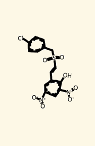 O=[N+]([O-])c1cc(/C=C/S(=O)(=O)Cc2ccc(Cl)cc2)c(O)c([N+](=O)[O-])c1